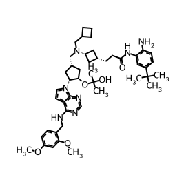 COc1ccc(CNc2ncnc3c2ccn3[C@@H]2C[C@H](CN(CC3CCC3)[C@H]3C[C@@H](CCC(=O)Nc4cc(C(C)(C)C)ccc4N)C3)C[C@H]2OC(C)(C)O)c(OC)c1